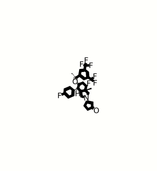 C[C@@H](O[C@H]1CC[C@]2(C)CN(C3=CC(=O)CC3)C[C@H]2[C@@H]1c1ccc(F)cc1)c1cc(C(F)(F)F)cc(C(F)(F)F)c1